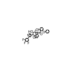 O=C(N[C@@H]1CCO[C@]12O[C@H](CO)[C@H](O)[C@H](n1cc(-c3cc(F)c(F)c(F)c3)nn1)[C@H]2O)c1ccccc1Oc1ccccc1